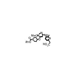 CON1CN=C(Nc2ccc(CC(=O)O)nc2C)C=C1OC1CCN(C(=O)OC(C)C)CC1